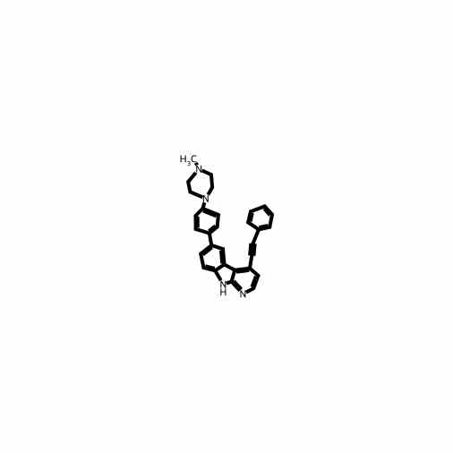 CN1CCN(c2ccc(-c3ccc4[nH]c5nccc(C#Cc6ccccc6)c5c4c3)cc2)CC1